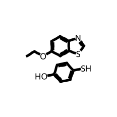 CCOc1ccc2ncsc2c1.Oc1ccc(S)cc1